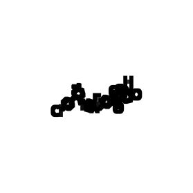 CC1(C)CCC(CN2CCN(Cc3cc4c(cc3F)C(=O)N(C3CCC(=O)NC3=O)C4=O)CC2)=C(c2ccc(Cl)cc2)C1